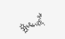 [3H]OC(=O)CCC(=O)OC(CC)CCCCNC(=O)OCC1c2ccccc2-c2ccccc21